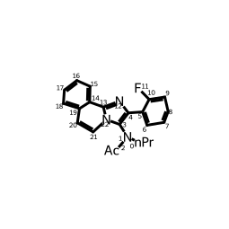 CCCN(C(C)=O)c1c(-c2ccccc2F)nc2c3ccccc3ccn12